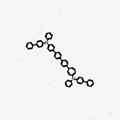 C1=CC(c2ccc(-c3ccc(-c4ccc(N(c5ccccc5)c5ccc(-c6ccccc6)cc5)cc4)cc3)cc2)C=CC(N(c2ccccc2)c2ccc(-c3ccccc3)cc2)=C1